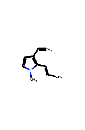 C=Cc1ccn(C)c1C=CC